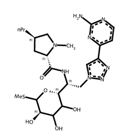 CCC[C@@H]1C[C@@H](C(=O)N[C@H](Cn2cc(-c3ccnc(N)n3)nn2)[C@H]2OC(SC)[C@H](O)C(O)C2O)N(C)C1